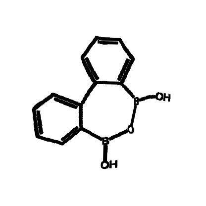 OB1OB(O)c2ccccc2-c2ccccc21